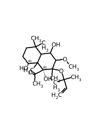 C=CC(C)(C)OC1(C)C(OC)C(O)C2C(C)(C)CC[C@@H](O)C2(C)[C@]1(O)C(C)=O